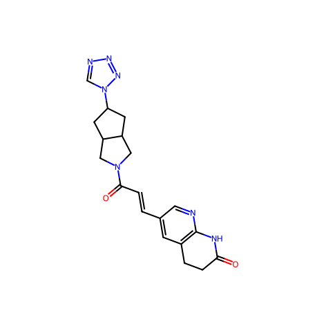 O=C1CCc2cc(/C=C/C(=O)N3CC4CC(n5cnnn5)CC4C3)cnc2N1